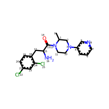 CC1CN(c2cccnc2)CCN1C(=O)C(N)Cc1ccc(Cl)cc1Cl